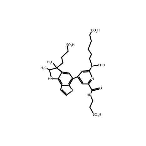 CC1Nc2c(cc(-c3cc(C(=O)NCCS(=O)(=O)O)nc(N(C=O)CCCCCC(=O)O)c3)c3sccc23)C1(C)CCCS(=O)(=O)O